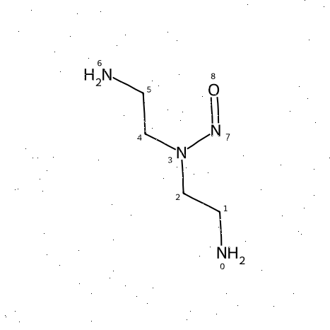 NCCN(CCN)N=O